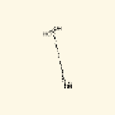 OCC(CO)OCCCCCCCCCCCCCCCCCCCCCCOC(CO)CO